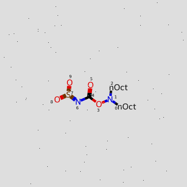 CCCCCCCCN(CCCCCCCC)OC(=O)N=S(=O)=O